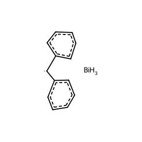 [BiH3].[CH](c1ccccc1)c1ccccc1